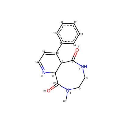 CN1CCNC(=O)C2C(c3ccccc3)=CC=NC2C1=O